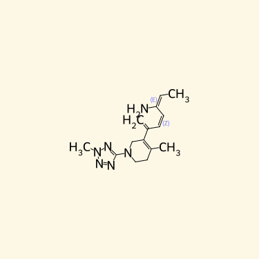 C=C(/C=C\C(N)=C/C)C1=C(C)CCN(c2nnn(C)n2)C1